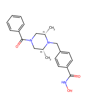 C[C@@H]1CN(C(=O)c2ccccc2)C[C@H](C)N1Cc1ccc(C(=O)NO)cc1